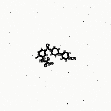 Cc1ccc(C(=O)N2CCC(c3ccc(C#N)cc3)CC2)cc1NS(=O)(=O)C(C)C